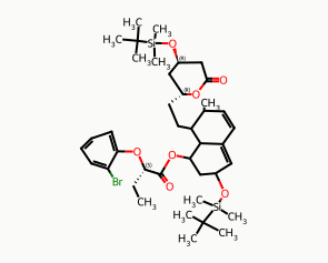 CC[C@H](Oc1ccccc1Br)C(=O)OC1CC(O[Si](C)(C)C(C)(C)C)C=C2C=CC(C)C(CC[C@@H]3C[C@@H](O[Si](C)(C)C(C)(C)C)CC(=O)O3)C21